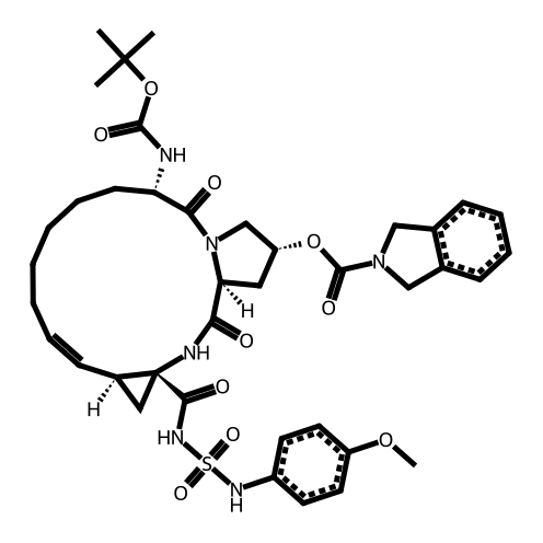 COc1ccc(NS(=O)(=O)NC(=O)[C@@]23C[C@H]2/C=C\CCCCC[C@H](NC(=O)OC(C)(C)C)C(=O)N2C[C@H](OC(=O)N4Cc5ccccc5C4)C[C@H]2C(=O)N3)cc1